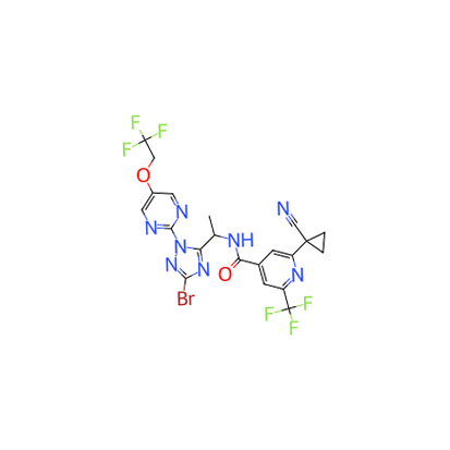 CC(NC(=O)c1cc(C(F)(F)F)nc(C2(C#N)CC2)c1)c1nc(Br)nn1-c1ncc(OCC(F)(F)F)cn1